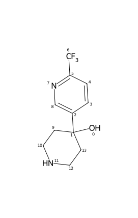 OC1(c2ccc(C(F)(F)F)nc2)CCNCC1